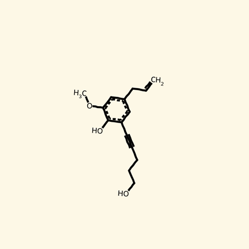 C=CCc1cc(C#CCCCO)c(O)c(OC)c1